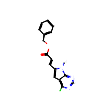 CC(C)n1c(/C=C/C(=O)OCc2ccccc2)cc2c(Cl)ncnc21